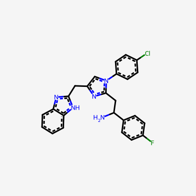 NC(Cc1nc(Cc2nc3ccccc3[nH]2)cn1-c1ccc(Cl)cc1)c1ccc(F)cc1